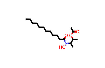 CCCCCCCCCCCC(=O)N(O)C(C)C(C)OC(C)=O